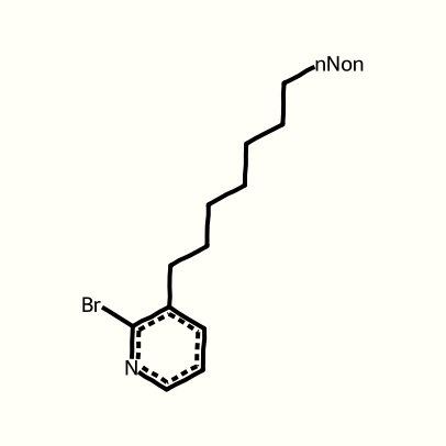 CCCCCCCCCCCCCCCCc1cccnc1Br